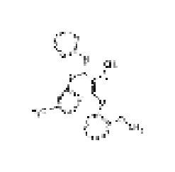 CCC(=C\Oc1ccccc1OC)/C(=N/c1ccccc1)Oc1cccc(C)c1